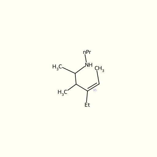 C/C=C(/CC)C(C)C(C)NCCC